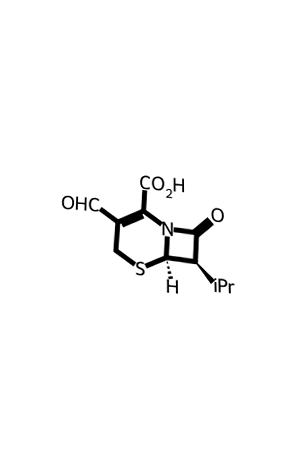 CC(C)[C@@H]1C(=O)N2C(C(=O)O)=C(C=O)CS[C@H]12